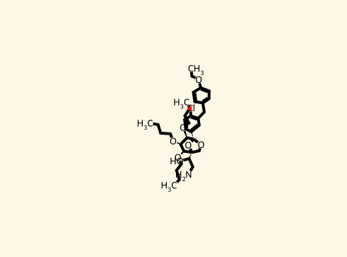 CCCCO[C@@H]1[C@@H](OCCCC)[C@@]2(c3ccc(Cl)c(Cc4ccc(OCC)cc4)c3)OC[C@](C(O)CN)(O2)[C@H]1OCCCC